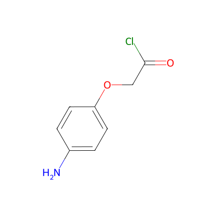 Nc1ccc(OCC(=O)Cl)cc1